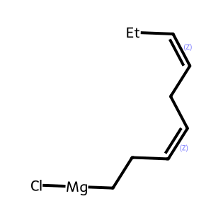 CC/C=C\C/C=C\C[CH2][Mg][Cl]